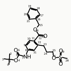 CC(C)(C)OC(=O)Nc1ccc(C(=O)OCc2ccccc2)c(CCCOS(C)(=O)=O)c1